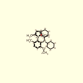 COc1ccc(C)c(-n2c(C)ccc2C)c1P(C1CCCCC1)C1CCCCC1